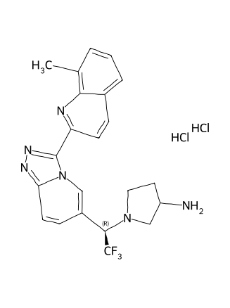 Cc1cccc2ccc(-c3nnc4ccc([C@@H](N5CCC(N)C5)C(F)(F)F)cn34)nc12.Cl.Cl